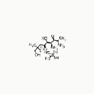 CC(N)C(=O)C(N)C(O)C(=O)CC(C)(C)CO.[SH][Ge]([SH])([SH])[SH]